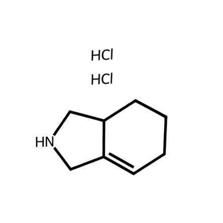 C1=C2CNCC2CCC1.Cl.Cl